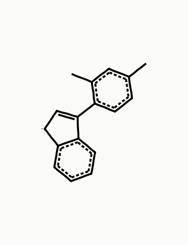 Cc1ccc(C2=C[CH]c3ccccc32)c(C)c1